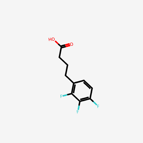 O=C(O)CCCc1ccc(F)c(F)c1F